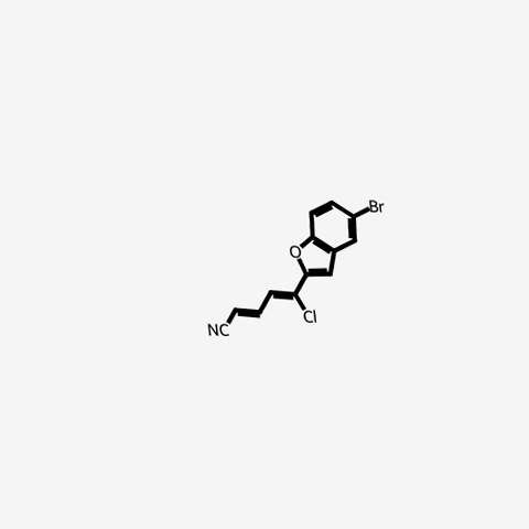 N#C/C=C/C=C(\Cl)c1cc2cc(Br)ccc2o1